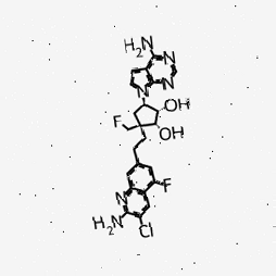 Nc1nc2cc(CC[C@@]3(CF)C[C@@H](n4ccc5c(N)ncnc54)[C@H](O)[C@@H]3O)cc(F)c2cc1Cl